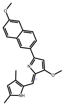 COC1=CC(c2ccc3cc(OC)ccc3c2)=N/C1=C\c1[nH]c(C)cc1C